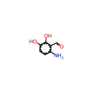 Nc1ccc(O)c(O)c1C=O